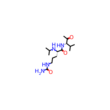 CC(=O)[C@@H](NC(=O)[C@H](CCCNC(N)=O)NC(C)C)C(C)C